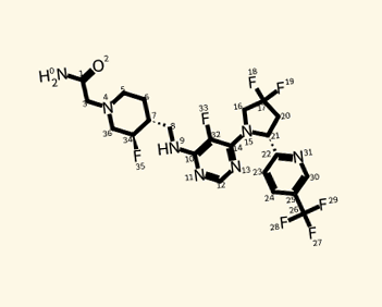 NC(=O)CN1CC[C@H](CNc2ncnc(N3CC(F)(F)C[C@@H]3c3ccc(C(F)(F)F)cn3)c2F)[C@@H](F)C1